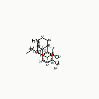 CCOC12CCC(=O)C[C@@]13CCN[C@@H]2Cc1ccc(OC)cc13